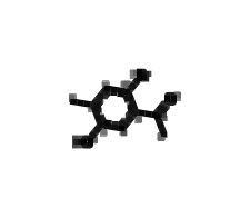 CC(=O)c1cc(O)c(C)cc1Br